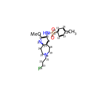 COc1nc2c(cc1NS(=O)(=O)c1ccc(C)cc1)CCN(CCCF)CC2